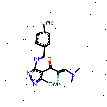 COc1ccc(CNc2ncnc(OC)c2C(=O)C(F)=CN(C)C)cc1